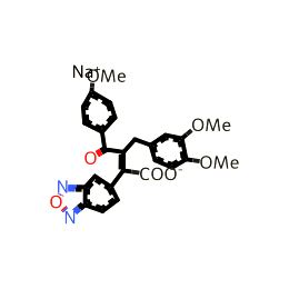 COc1ccc(C(=O)C(Cc2ccc(OC)c(OC)c2)=C(C(=O)[O-])c2ccc3nonc3c2)cc1.[Na+]